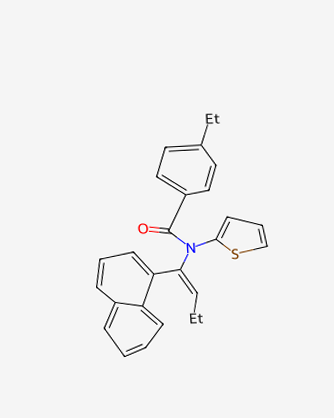 CC/C=C(\c1cccc2ccccc12)N(C(=O)c1ccc(CC)cc1)c1cccs1